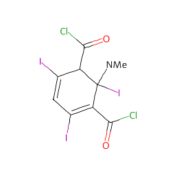 CNC1(I)C(C(=O)Cl)=C(I)C=C(I)C1C(=O)Cl